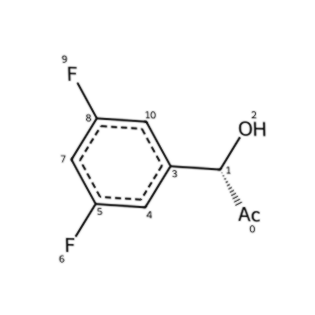 CC(=O)[C@@H](O)c1cc(F)cc(F)c1